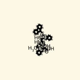 CC(C)C[C@H](NC(=O)[C@@H](O)[C@@H](Cc1ccccc1)NOCC1c2ccccc2-c2ccccc21)C(=O)N[C@H](Cc1ccccc1)[C@H](O)C(=O)O